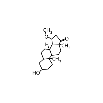 CO[C@H]1CC(=O)[C@]2(C)CCC3[C@H](CCC4C[C@H](O)CC[C@]43C)C12